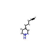 C#CCCCC1CCNCC1